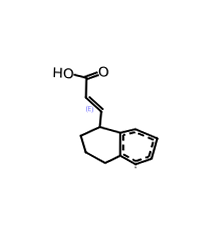 O=C(O)/C=C/C1CCCc2[c]cccc21